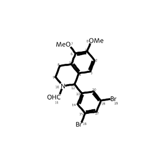 COc1ccc2c(c1OC)CCN(C=O)C2c1cc(Br)cc(Br)c1